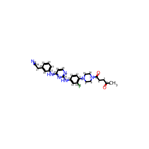 CC(=O)CCC(=O)N1CCN(c2ccc(Nc3nccc(Nc4cccc(CC#N)c4)n3)cc2F)CC1